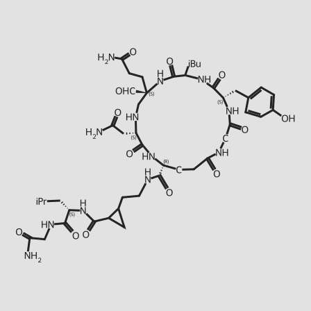 CCC(C)C1NC(=O)[C@H](Cc2ccc(O)cc2)NC(=O)CNC(=O)CC[C@H](C(=O)NCCC2CC2C(=O)N[C@@H](CC(C)C)C(=O)NCC(N)=O)NC(=O)[C@H](CC(N)=O)NC[C@](C=O)(CCC(N)=O)NC1=O